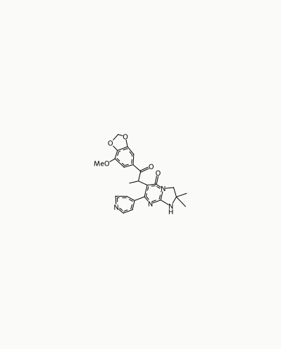 COc1cc(C(=O)C(C)c2c(-c3ccncc3)nc3n(c2=O)CC(C)(C)N3)cc2c1OCO2